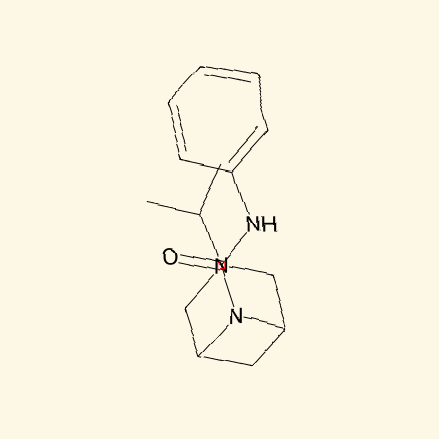 CC(C)N1CC2CC(C1)N2C(=O)Nc1ccccc1